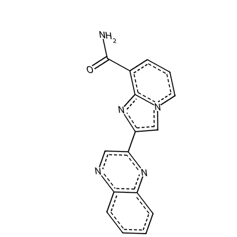 NC(=O)c1cccn2cc(-c3cnc4ccccc4n3)nc12